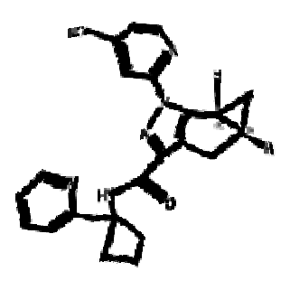 N#Cc1ccnc(-n2nc(C(=O)NC3(c4ccccn4)CCC3)c3c2[C@@H]2C[C@@H]2C3)c1